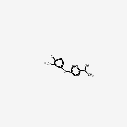 CC(O)c1ccc(Oc2ccc(Cl)c(C(F)(F)F)c2)cn1